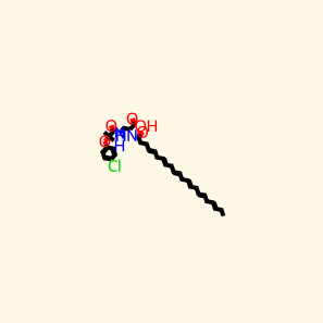 CCC=CCC=CCC=CCC=CCC=CCC=CCCC(=O)NC(CNC(=O)C(C)(C)Oc1ccc(Cl)cc1)C(=O)O